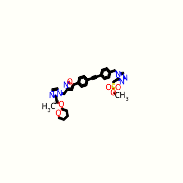 COS(=O)(=O)Cc1nncn1Cc1ccc(C#Cc2ccc(-c3cc(Cn4ccnc4[C@H](C)OC4CCCCO4)no3)cc2)cc1